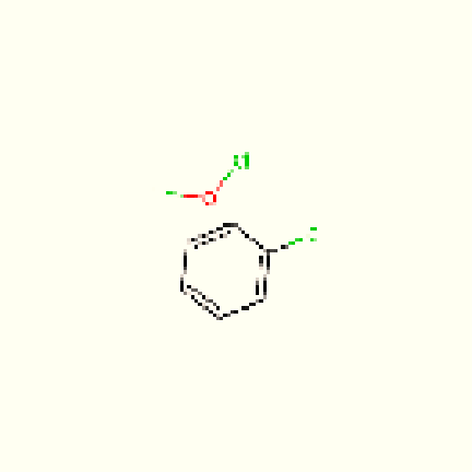 ClOCl.Clc1ccccc1